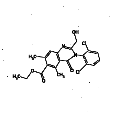 CCOC(=O)c1c(C)cc2nc(CO)n(-c3c(Cl)cccc3Cl)c(=O)c2c1C